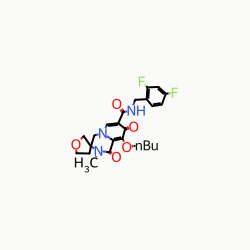 CCCCOc1c2n(cc(C(=O)NCc3ccc(F)cc3F)c1=O)CC1(CCOC1)N(C)C2=O